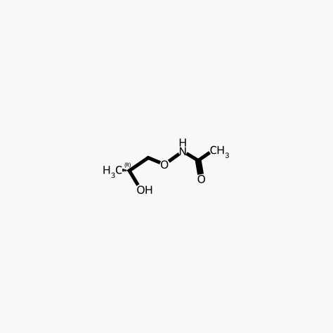 CC(=O)NOC[C@@H](C)O